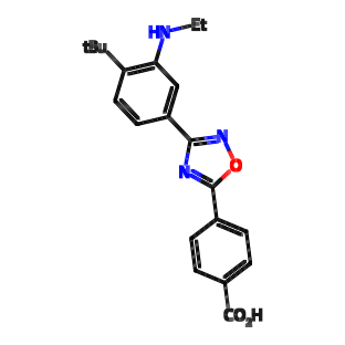 CCNc1cc(-c2noc(-c3ccc(C(=O)O)cc3)n2)ccc1C(C)(C)C